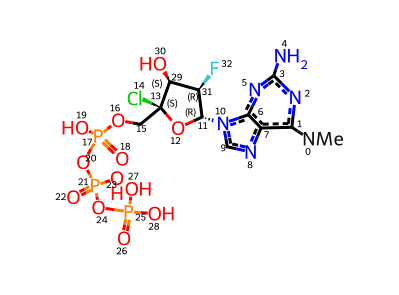 CNc1nc(N)nc2c1ncn2[C@@H]1O[C@](Cl)(COP(=O)(O)OP(=O)(O)OP(=O)(O)O)[C@@H](O)[C@H]1F